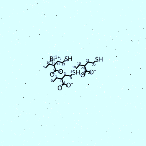 CCC(CCS)C(=O)[O-].CCC(CCS)C(=O)[O-].CCC(CCS)C(=O)[O-].[Bi+3]